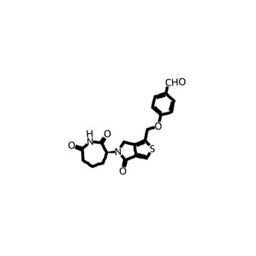 O=Cc1ccc(OCc2scc3c2CN([C@H]2CCCC(=O)NC2=O)C3=O)cc1